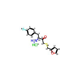 Cl.N[C@@H](Cc1ccc(F)cc1)C(=O)CSCc1ccco1